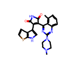 Cc1cccc2nc(N3CCN(C)CC3)nc(C3=C(c4c[nH]c5sccc45)C(=O)NC3=O)c12